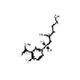 COCCCC(O)CS(=O)(=O)c1ccc(C(F)(F)F)c(C(=O)OC)c1